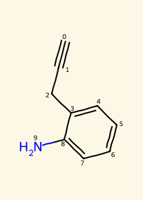 C#CCc1ccccc1N